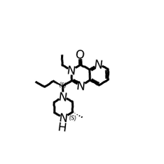 CCC[C@@H](c1nc2cccnc2c(=O)n1CC)N1CCN[C@@H](C)C1